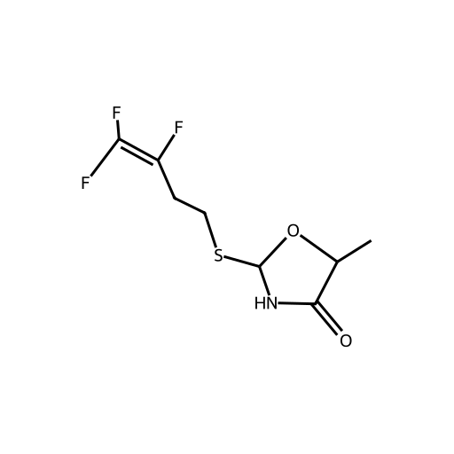 CC1OC(SCCC(F)=C(F)F)NC1=O